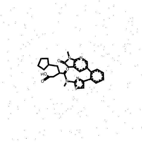 CN(C(=O)C(CC(=O)O)CC1CCCC1)c1nc(-c2ccccc2-c2cnc3c(c2)CC(=O)N3C)cs1